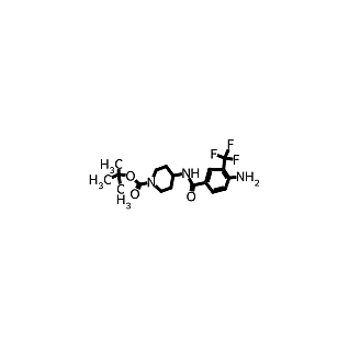 CC(C)(C)OC(=O)N1CCC(NC(=O)c2ccc(N)c(C(F)(F)F)c2)CC1